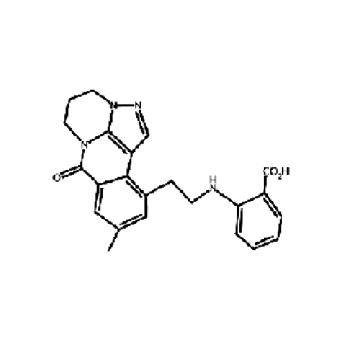 Cc1cc(CCNc2ccccc2C(=O)O)c2c(c1)c(=O)n1c3c2cnn3CCC1